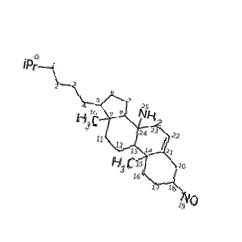 CC(C)CCCCC1CCC2C1(C)CCC1C3(C)CCC(N=O)CC3=CCC12N